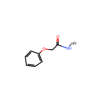 CCCNC(=O)COc1cc[c]cc1